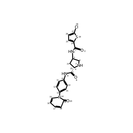 O=C(NC1CN[C@H](C(=O)Nc2ccc(-n3ccccc3=O)cc2)C1)c1ccc(Cl)s1